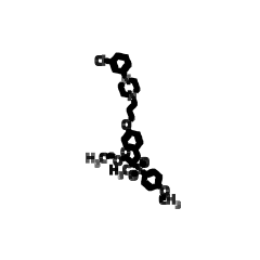 CCOC(=O)C(C)(Cc1ccc(OCCCN2CCN(c3cccc(Cl)c3)CC2)cc1)S(=O)(=O)c1ccc(OC)cc1